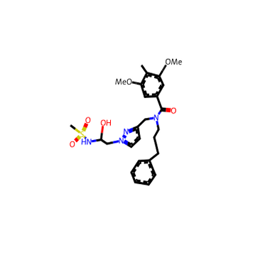 COc1cc(C(=O)N(CCCc2ccccc2)Cc2ccn(CC(O)NS(C)(=O)=O)n2)cc(OC)c1C